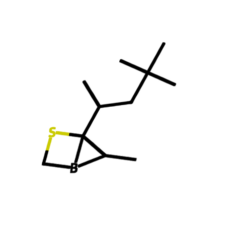 CC(CC(C)(C)C)C12SCB1C2C